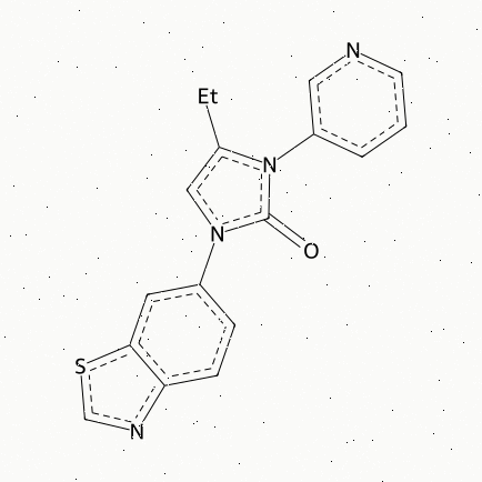 CCc1cn(-c2ccc3ncsc3c2)c(=O)n1-c1cccnc1